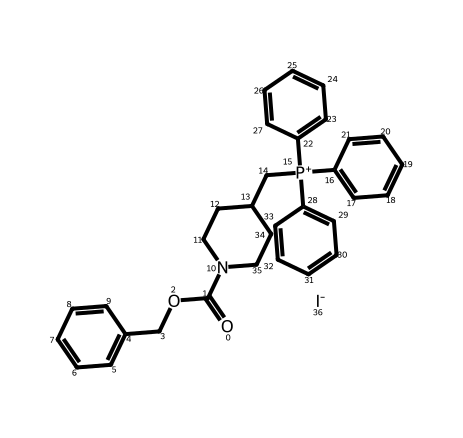 O=C(OCc1ccccc1)N1CCC(C[P+](c2ccccc2)(c2ccccc2)c2ccccc2)CC1.[I-]